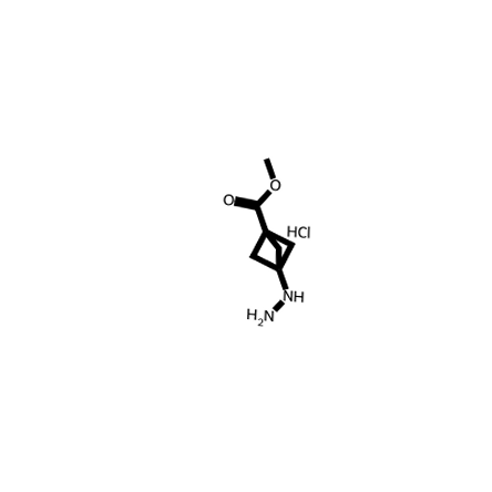 COC(=O)C12CC(NN)(C1)C2.Cl